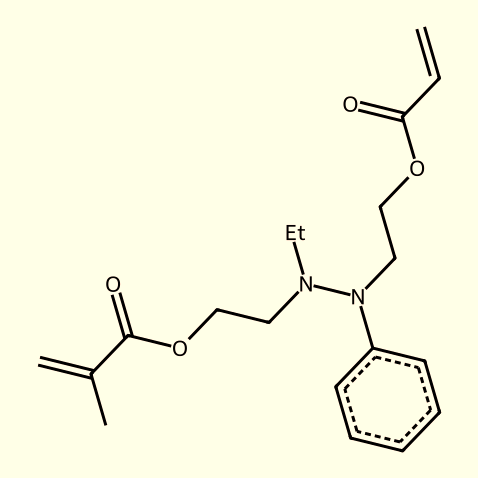 C=CC(=O)OCCN(c1ccccc1)N(CC)CCOC(=O)C(=C)C